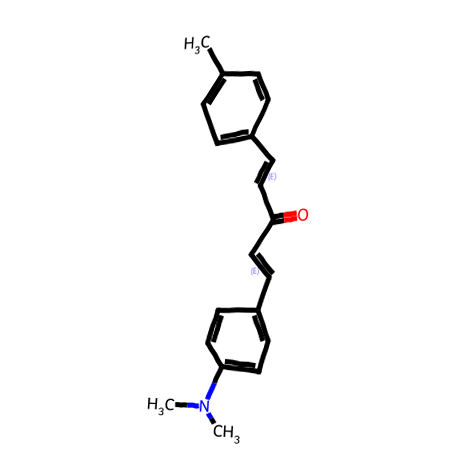 Cc1ccc(/C=C/C(=O)/C=C/c2ccc(N(C)C)cc2)cc1